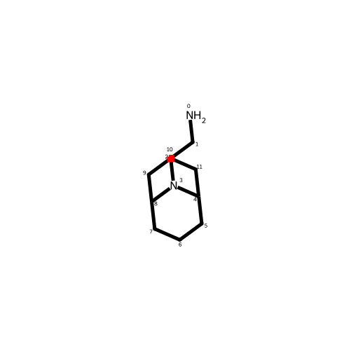 NCCN1C2CCCC1CCC2